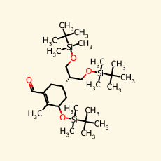 CC1=C(C=O)C[C@H](C(CO[Si](C)(C)C(C)(C)C)CO[Si](C)(C)C(C)(C)C)CC1O[Si](C)(C)C(C)(C)C